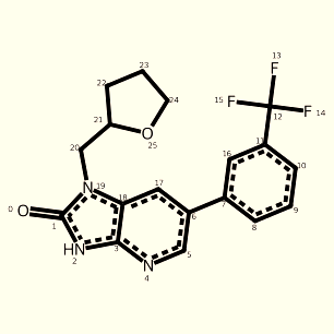 O=c1[nH]c2ncc(-c3cccc(C(F)(F)F)c3)cc2n1CC1CCCO1